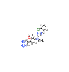 COc1cc(N(C)CCNCc2ccccc2Cl)ccc1/C(C=N)=C/N